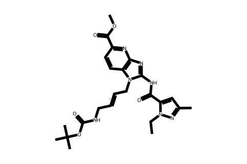 CCn1nc(C)cc1C(=O)Nc1nc2nc(C(=O)OC)ccc2n1C/C=C/CNC(=O)OC(C)(C)C